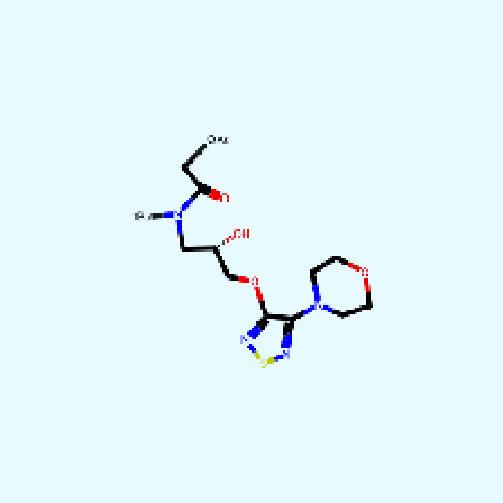 CC(=O)OCC(=O)N(C[C@H](O)COc1nsnc1N1CCOCC1)C(C)(C)C